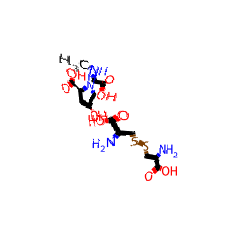 CNCC(=O)O.NC(CSSCC(N)C(=O)O)C(=O)O.O=C(O)[C@@H]1C[C@@H](O)CN1